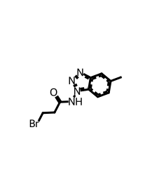 Cc1ccc2c(c1)nnn2NC(=O)CCBr